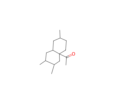 CC(=O)C12CCC(C)CC1CC(C)C(C)C2